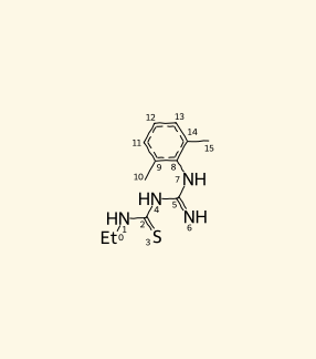 CCNC(=S)NC(=N)Nc1c(C)cccc1C